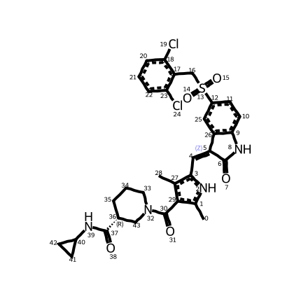 Cc1[nH]c(/C=C2\C(=O)Nc3ccc(S(=O)(=O)Cc4c(Cl)cccc4Cl)cc32)c(C)c1C(=O)N1CCC[C@@H](C(=O)NC2CC2)C1